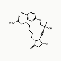 CCc1ccc(OCC(C)(O)C#C[C@H]2[C@@H](O)CC(=O)[C@@H]2CCCCCCC(=O)OC)cc1